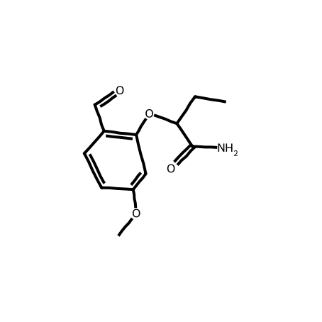 CCC(Oc1cc(OC)ccc1C=O)C(N)=O